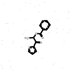 CC(OC(=O)c1ccccc1)C(=O)c1cccs1